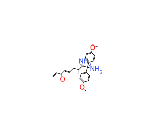 C=CC(=O)C=CCC(C)[C@H](N)C(N)(c1ccc(OC)cc1)c1ccc(OC)cc1